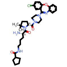 CC1(C)CC[C@H](C(=O)N2CCN(C3=Nc4ccccc4Oc4ccc(Cl)cc43)CC2)N1C(=O)[C@@H](N)CCCCNC(=O)C1CCCC1